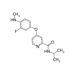 CNc1ccc(Oc2ccnc(C(=O)NC(C)C)c2)cc1F